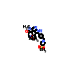 CC(=O)N1C2C[C@@H](C)C1CC1(C2)C(=O)N(C)c2cnc3[nH]c(-c4ccc(CN5CCC(S(C)(=O)=O)CC5)cc4)c(-c4ccccc4)c3c21